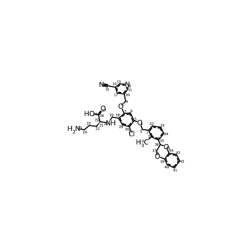 Cc1c(COc2cc(OCc3cncc(C#N)c3)c(CN[C@@H](CCCN)C(=O)O)cc2Cl)cccc1C1COc2ccccc2O1